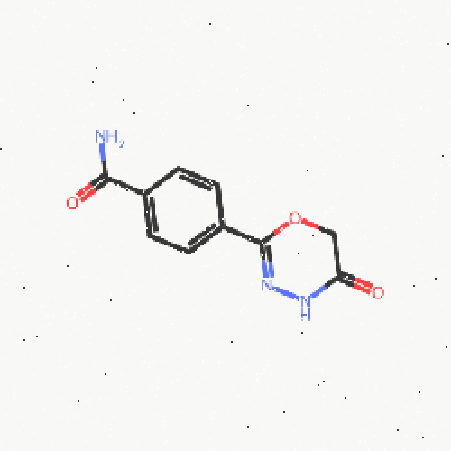 NC(=O)c1ccc(C2=NNC(=O)CO2)cc1